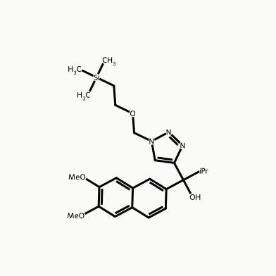 COc1cc2ccc(C(O)(c3cn(COCC[Si](C)(C)C)nn3)C(C)C)cc2cc1OC